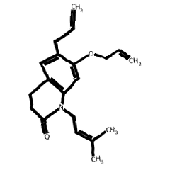 C=CCOc1cc2c(cc1CC=C)CCC(=O)N2CC=C(C)C